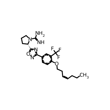 CCC/C=C\CCOc1ccc(-c2noc([C@@H]3CCCN3C(=N)N)n2)cc1C(F)(F)F